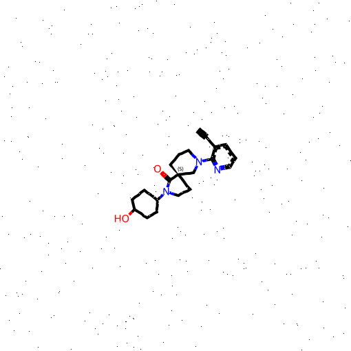 C#Cc1cccnc1N1CCC[C@]2(CCN(C3CCC(O)CC3)C2=O)C1